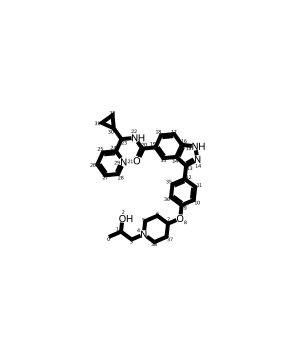 CC(O)CN1CCC(Oc2ccc(-c3n[nH]c4ccc(C(=O)NC(c5ccccn5)C5CC5)cc34)cc2)CC1